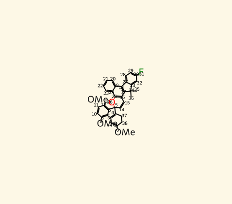 COC1=CC=C(C2(c3cc(OC)ccc3OC)C=Cc3c4c(c5ccccc5c3O2)-c2ccc(F)cc2C4(C)C)CC1